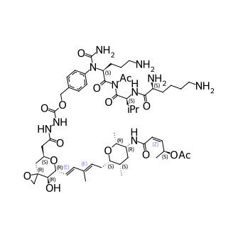 CC(=O)O[C@@H](C)/C=C\C(=O)N[C@@H]1C[C@H](C)[C@H](C/C=C(C)/C=C/[C@H]2O[C@H](CC(=O)NNC(=O)OCc3ccc(N(C(N)=O)[C@@H](CCCN)C(=O)N(C(C)=O)C(=O)[C@@H](NC(=O)[C@@H](N)CCCCN)C(C)C)cc3)C[C@@]3(CO3)[C@@H]2O)O[C@@H]1C